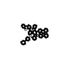 c1ccc(-c2ccc(N(c3ccc(-c4cccc5c4oc4ccccc45)cc3)c3cccc4oc5c(-c6ccc7c(c6)C6(c8ccccc8-c8ccccc86)c6ccccc6-7)c6c(cc5c34)oc3ccccc36)cc2)cc1